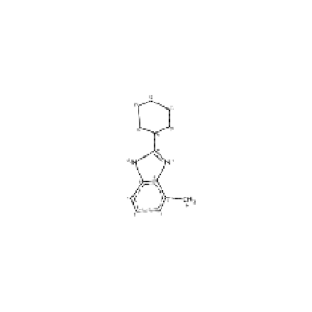 Cc1cccc2c1N=C(C1CCCCC1)[N]2